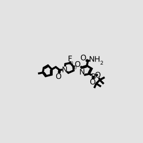 Cc1ccc(CC(=O)N2CC[C@H](Oc3ncc(B4OC(C)(C)C(C)(C)O4)cc3C(N)=O)[C@H](F)C2)cc1